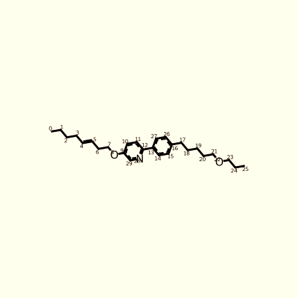 CCCCC=CCCOc1ccc(-c2ccc(CCCCCOCCC)cc2)nc1